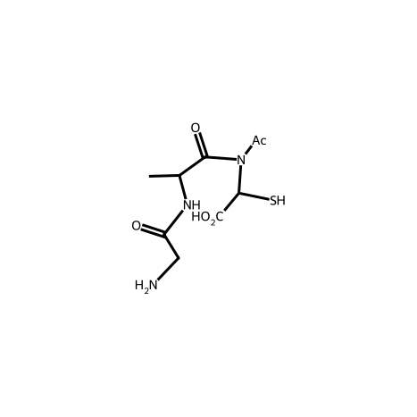 CC(=O)N(C(=O)C(C)NC(=O)CN)C(S)C(=O)O